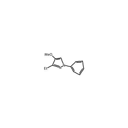 CCc1nn(-c2ccccc2)cc1OC